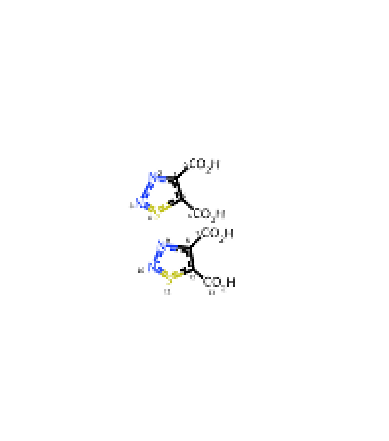 O=C(O)c1nnsc1C(=O)O.O=C(O)c1nnsc1C(=O)O